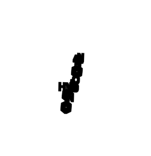 O=C(COc1ccc(-n2ccnc2)cc1)Nc1ccc(-c2ccccc2)nc1